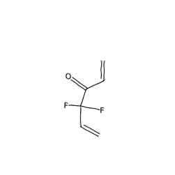 C=CC(=O)C(F)(F)C=C